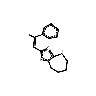 CC(=Cc1nc2c(s1)NCCCC2)c1ccccc1